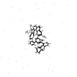 CC1(C)c2ccccc2-c2c1ccc1ccc3ccc(-c4nc(-c5ccccc5)nc(-c5cccc6oc7ccccc7c56)n4)cc3c21